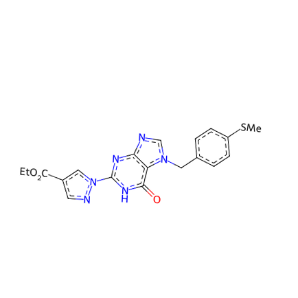 CCOC(=O)c1cnn(-c2nc3ncn(Cc4ccc(SC)cc4)c3c(=O)[nH]2)c1